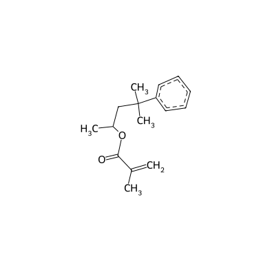 C=C(C)C(=O)OC(C)CC(C)(C)c1ccccc1